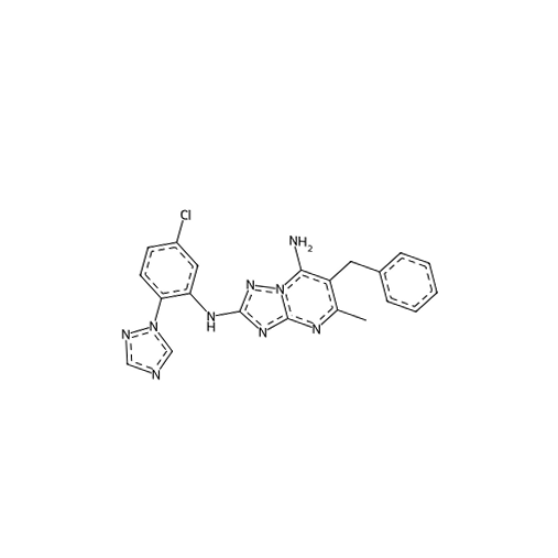 Cc1nc2nc(Nc3cc(Cl)ccc3-n3cncn3)nn2c(N)c1Cc1ccccc1